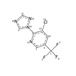 FC(F)(F)c1cnc(-n2cn[c]n2)c(Cl)c1